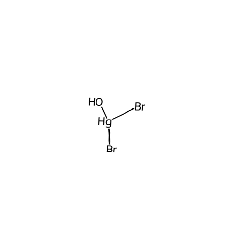 [OH][Hg]([Br])[Br]